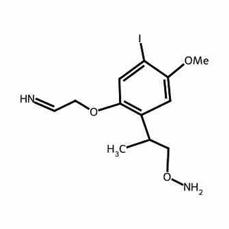 COc1cc(C(C)CON)c(OCC=N)cc1I